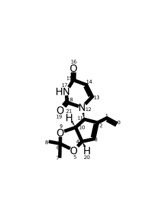 C=CC1=C[C@H]2OC(C)(C)O[C@H]2[C@@H]1n1ccc(=O)[nH]c1=O